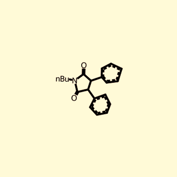 CCCCN1C(=O)C(c2ccccc2)C(c2ccccc2)C1=O